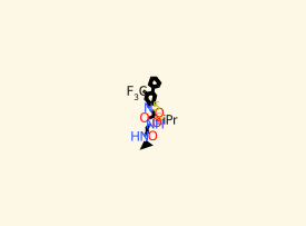 CC(C)S(=O)(=O)C(C(=O)NCC(=O)NC1CC1)c1nc2cc(C(F)(F)F)c(-c3ccccc3)cc2s1